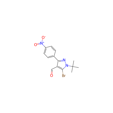 CC(C)(C)n1nc(-c2ccc([N+](=O)[O-])cc2)c(C=O)c1Br